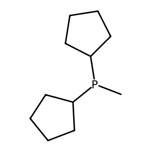 CP(C1CCCC1)C1CCCC1